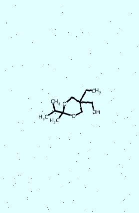 CCC1(CO)COC(C)(C(C)C)OC1